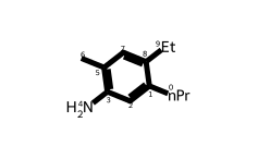 CCCc1cc(N)c(C)cc1CC